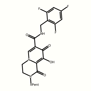 CCCCCN1CCn2cc(C(=O)NCc3c(F)cc(F)cc3F)c(=O)c(O)c2C1=O